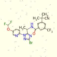 CC(NC(=O)c1cc(C(F)(F)F)cc(C(C)(C)C#N)c1)c1nc(Br)nn1-c1ccc(OC(F)F)cn1